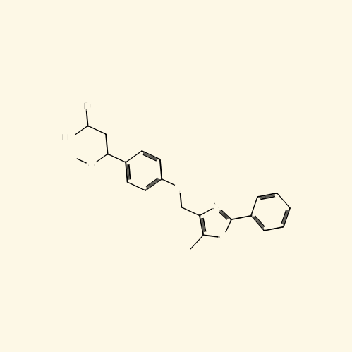 CCOC(CC(S)CC)c1ccc(OCc2nc(-c3ccccc3)oc2C)cc1